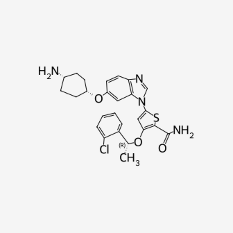 C[C@@H](Oc1cc(-n2cnc3ccc(O[C@H]4CC[C@@H](N)CC4)cc32)sc1C(N)=O)c1ccccc1Cl